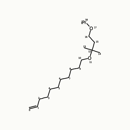 C=CCCCCCCCCCOC(C)(C)CCOC(C)C